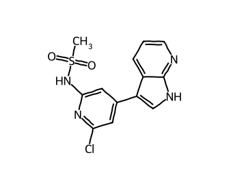 CS(=O)(=O)Nc1cc(-c2c[nH]c3ncccc23)cc(Cl)n1